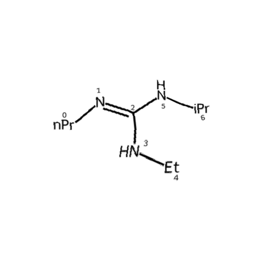 CCC/N=C(\NCC)NC(C)C